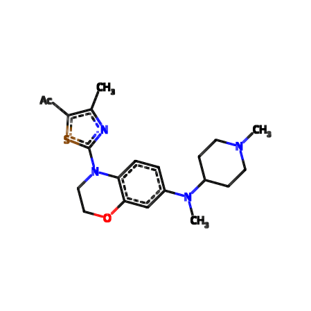 CC(=O)c1sc(N2CCOc3cc(N(C)C4CCN(C)CC4)ccc32)nc1C